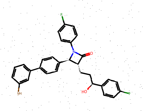 O=C1[C@H](CC[C@H](O)c2ccc(F)cc2)[C@@H](c2ccc(-c3cccc(S)c3)cc2)N1c1ccc(F)cc1